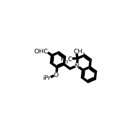 CC(C)Oc1cc(C=O)ccc1CN1c2ccccc2C=CC1(C)C